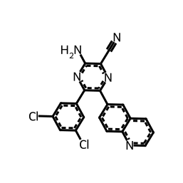 N#Cc1nc(-c2ccc3ncccc3c2)c(-c2cc(Cl)cc(Cl)c2)nc1N